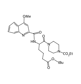 CCOC(=O)N1CCN(C(=O)C(CCCC(=O)OC(C)(C)C)NC(=O)c2cc(OC)c3ccccc3n2)CC1